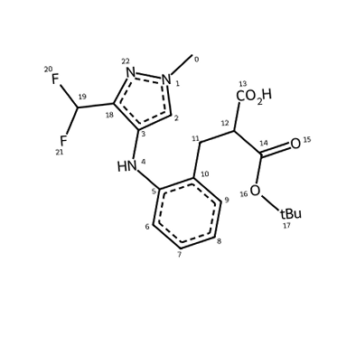 Cn1cc(Nc2ccccc2CC(C(=O)O)C(=O)OC(C)(C)C)c(C(F)F)n1